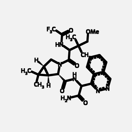 COCC(C)(C)C(NC(=O)C(F)(F)F)C(=O)N1C[C@H]2[C@@H]([C@H]1C(=O)NC(C(N)=O)c1nncc3ccccc13)C2(C)C